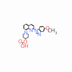 COc1ccc2c(c1)ncn2-c1ccc2cccc(N3CCC(OC(=O)O)CC3)c2n1